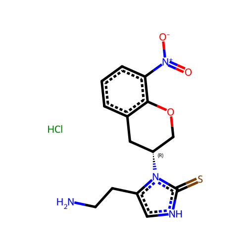 Cl.NCCc1c[nH]c(=S)n1[C@H]1COc2c(cccc2[N+](=O)[O-])C1